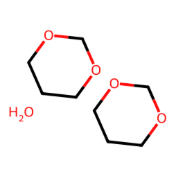 C1COCOC1.C1COCOC1.O